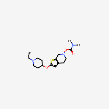 CCN(CC)C(=O)ON1CCc2cc(OC3CCN(CC(C)C)CC3)sc2C1